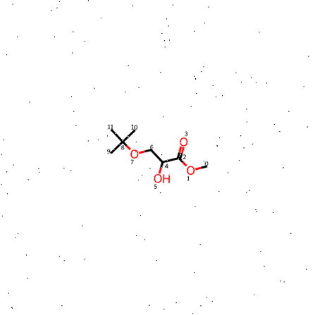 COC(=O)C(O)COC(C)(C)C